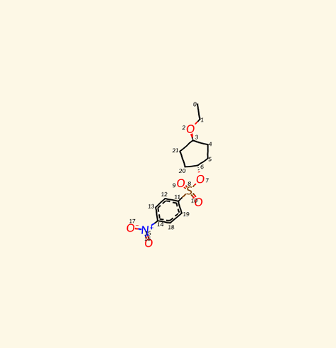 CCO[C@H]1CC[C@H](OS(=O)(=O)c2ccc([N+](=O)[O-])cc2)CC1